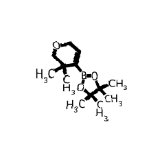 CC1(C)COCC=C1B1OC(C)(C)C(C)(C)O1